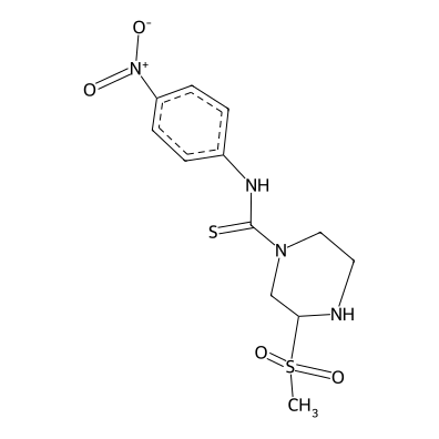 CS(=O)(=O)C1CN(C(=S)Nc2ccc([N+](=O)[O-])cc2)CCN1